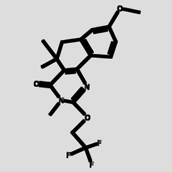 COc1ccc2c(c1)CC(C)(C)c1c-2nc(OCC(F)(F)F)n(C)c1=O